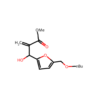 C=C(C(=O)OC)C(O)c1ccc(COCCCC)o1